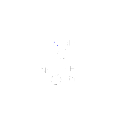 CC(C)c1ccc(CC(C)c2c(C#N)cccc2C(C)C)cc1N1CCCC1